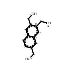 OCc1ccc2cc(CO)c(CO)cc2c1